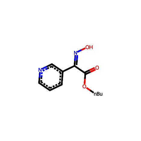 CCCCOC(=O)C(=NO)c1cccnc1